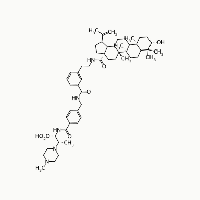 C=C(C)[C@@H]1CC[C@]2(C(=O)NCCc3cccc(C(=O)NCc4ccc(C(=O)N[C@@H](C(=O)O)[C@H](C)N5CCN(C)CC5)cc4)c3)CC[C@]3(C)C(CCC4[C@@]5(C)CC[C@H](O)C(C)(C)C5CC[C@]43C)C12